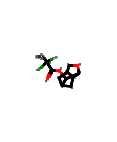 O=C(OC1C2CC3COC1C3C2)C(F)(F)S(=O)(=O)O